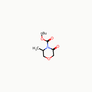 CCCCOC(=O)N1C(=O)COCC1C